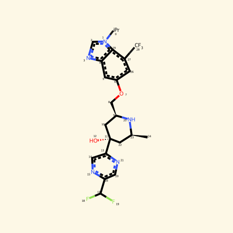 CC(C)n1cnc2cc(OC[C@@H]3C[C@](O)(c4cnc(C(F)F)cn4)C[C@H](C)N3)cc(C(F)(F)F)c21